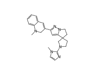 CN1CC(c2cc3n(n2)CCC32CCN(c3nccn3C)C2)=Cc2ccccc21